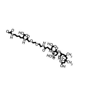 CC(C)(CC(=O)O)CC(C)(C)CC(=O)NC(CS(=O)(=O)O)C(=O)NC(CCC(=O)NCCOCCOCC(=O)NC(CCCCNC(=O)C=O)C(=O)O)C(=O)O